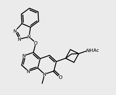 CC(=O)NC12CC(c3cc4c(On5nnc6ccccc65)ncnc4n(C)c3=O)(C1)C2